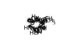 CC(C)(C)OC(=O)N1CC[C@H]1COc1cnc(Cl)c(CNC(=O)c2ccccc2)c1.Cl.O=C(NCc1cc(OC[C@@H]2CCN2)cnc1Cl)c1ccccc1